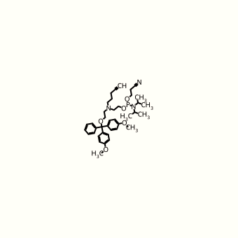 C#CCCCN(CCOP(OCCC#N)N(C(C)C)C(C)C)CCOC(c1ccccc1)(c1ccc(OC)cc1)c1ccc(OC)cc1